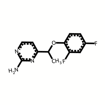 CC(Oc1ccc(F)cc1F)c1ccnc(N)n1